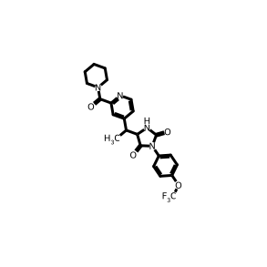 CC(c1ccnc(C(=O)N2CCCCC2)c1)C1NC(=O)N(c2ccc(OC(F)(F)F)cc2)C1=O